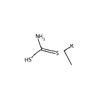 C[CH2][K].NC(=S)S